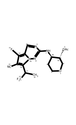 CC(=O)O[C@@H]1COCC[C@H]1Nc1ncc2c(F)c(C#N)c(C(C)C(F)(F)F)n2n1